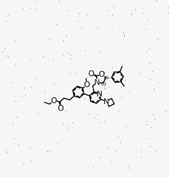 CCOC(=O)CCc1ccc(OC)c(-c2ccc(N3CCC3)nc2CN2C(=O)O[C@H](c3cc(C)cc(C)c3)[C@@H]2C)c1